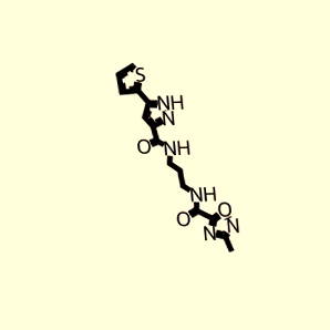 Cc1noc(C(=O)NCCCNC(=O)c2cc(-c3cccs3)[nH]n2)n1